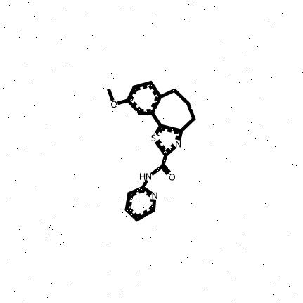 COc1ccc2c(c1)-c1sc(C(=O)Nc3ccccn3)nc1CCC2